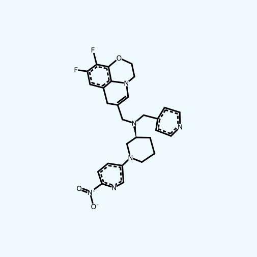 O=[N+]([O-])c1ccc(N2CCC[C@H](N(CC3=CN4CCOc5c(F)c(F)cc(c54)C3)Cc3ccncc3)C2)cn1